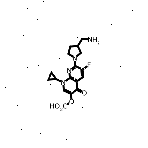 NCC1CCN(c2nc3c(cc2F)c(=O)c(OC(=O)O)cn3C2CC2)C1